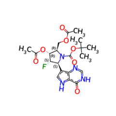 CC(=O)OC[C@@H]1[C@@H](OC(C)=O)[C@@H](F)[C@H](c2c[nH]c3c(=O)[nH]cnc23)N1C(=O)OC(C)(C)C